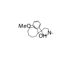 COc1cccc(C2(C3(O)CCCCCCC3)CCN(C)CC2)c1